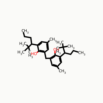 CCCC(c1cc(C)cc(Cc2cc(C)cc(C(CCC)C(C)(C)C)c2O)c1O)C(C)(C)C